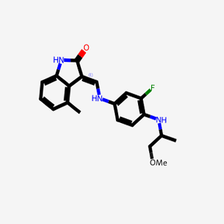 COCC(C)Nc1ccc(N/C=C2/C(=O)Nc3cccc(C)c32)cc1F